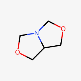 C1OCN2COCC12